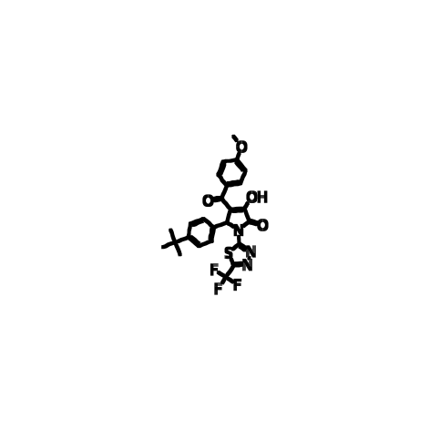 COc1ccc(C(=O)C2=C(O)C(=O)N(c3nnc(C(F)(F)F)s3)C2c2ccc(C(C)(C)C)cc2)cc1